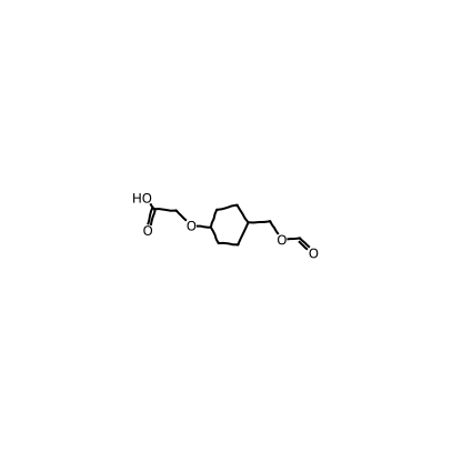 O=COCC1CCC(OCC(=O)O)CC1